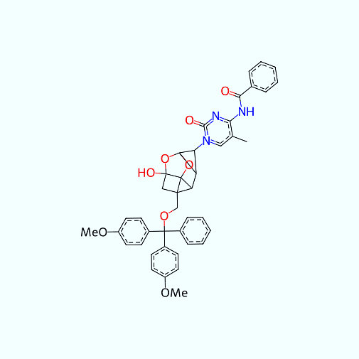 COc1ccc(C(OCC23CC4(O)OC56OC42C3C5C6n2cc(C)c(NC(=O)c3ccccc3)nc2=O)(c2ccccc2)c2ccc(OC)cc2)cc1